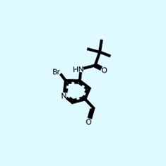 CC(C)(C)C(=O)Nc1cc(C=O)cnc1Br